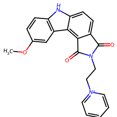 COc1ccc2[nH]c3ccc4c(c3c2c1)C(=O)N(CC[n+]1ccccc1)C4=O